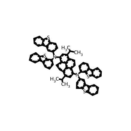 CC(C)c1cc(N(c2ccc3sc4ccccc4c3c2)c2cccc3c2sc2ccccc23)c2ccc3c(C(C)C)cc(N(c4ccc5sc6ccccc6c5c4)c4cccc5c4sc4ccccc45)c4ccc1c2c34